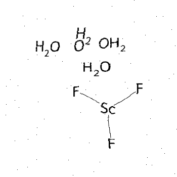 O.O.O.O.[F][Sc]([F])[F]